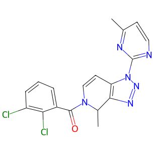 Cc1ccnc(-n2nnc3c2C=CN(C(=O)c2cccc(Cl)c2Cl)C3C)n1